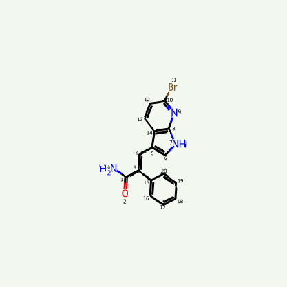 NC(=O)/C(=C/c1c[nH]c2nc(Br)ccc12)c1ccccc1